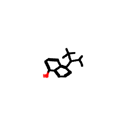 CC(C)C(c1cccc2c(O)cccc12)C(C)(C)C